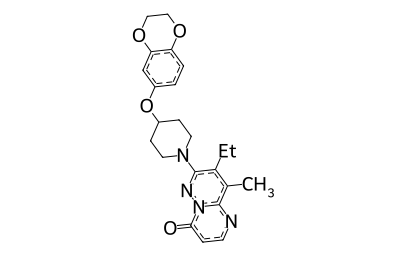 CCc1c(N2CCC(Oc3ccc4c(c3)OCCO4)CC2)nn2c(=O)ccnc2c1C